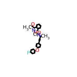 CO/N=C(/C(C)=O)c1ccccc1CO/N=C(\C)C#Cc1ccc(Oc2ccc(F)cc2)cc1